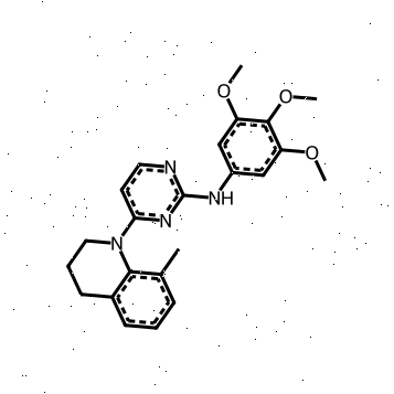 COc1cc(Nc2nccc(N3CCCc4cccc(C)c43)n2)cc(OC)c1OC